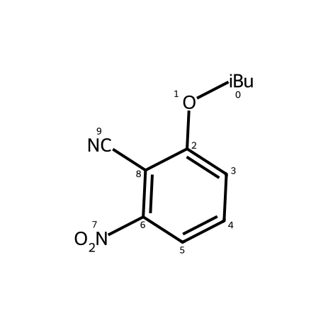 CCC(C)Oc1cccc([N+](=O)[O-])c1C#N